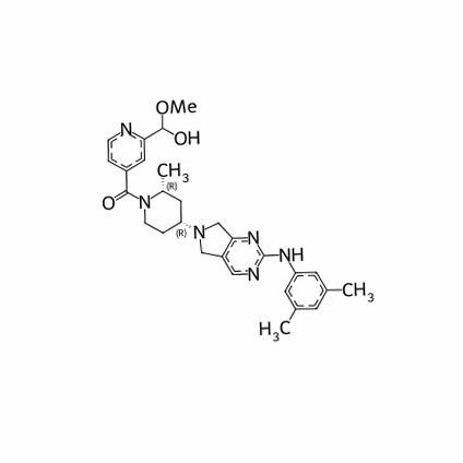 COC(O)c1cc(C(=O)N2CC[C@@H](N3Cc4cnc(Nc5cc(C)cc(C)c5)nc4C3)C[C@H]2C)ccn1